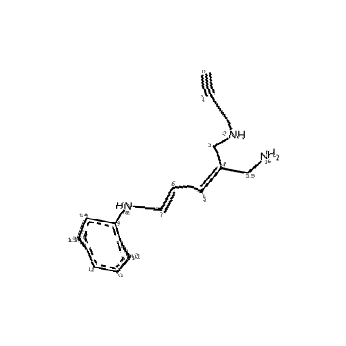 C#CNC/C(=C\C=C\Nc1ccccc1)CN